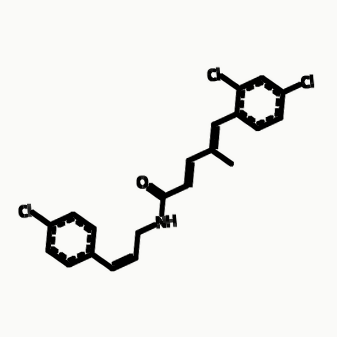 CC(/C=C/C(=O)NC/C=C\c1ccc(Cl)cc1)=C\c1ccc(Cl)cc1Cl